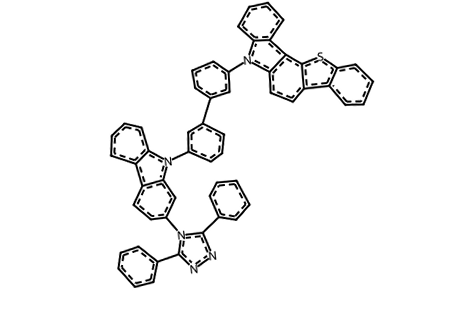 c1ccc(-c2nnc(-c3ccccc3)n2-c2ccc3c4ccccc4n(-c4cccc(-c5cccc(-n6c7ccccc7c7c8sc9ccccc9c8ccc76)c5)c4)c3c2)cc1